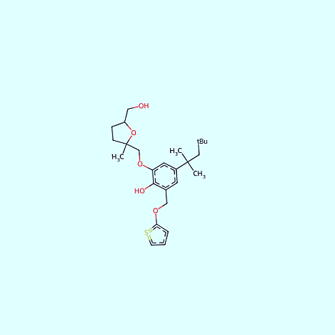 CC(C)(C)CC(C)(C)c1cc(COc2cccs2)c(O)c(OCC2(C)CCC(CO)O2)c1